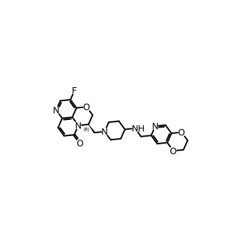 O=c1ccc2ncc(F)c3c2n1[C@H](CN1CCC(NCc2cc4c(cn2)OCCO4)CC1)CO3